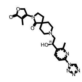 CC1=C(N2CCC3(CCN(C[C@H](O)c4ccc(-n5cnnn5)nc4C)CC3)C2=O)COC1=O